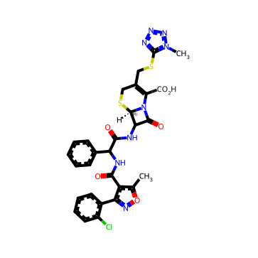 Cc1onc(-c2ccccc2Cl)c1C(=O)NC(C(=O)NC1C(=O)N2C(C(=O)O)=C(CSc3nnnn3C)CS[C@H]12)c1ccccc1